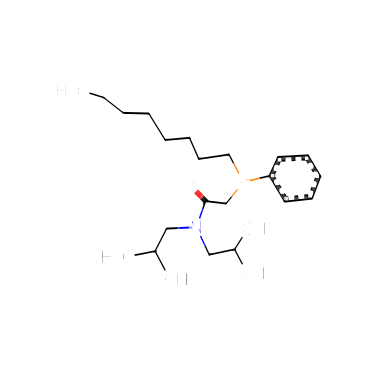 CCCCCCCCP(CC(=O)N(CC(C)C)CC(C)C)c1ccccc1